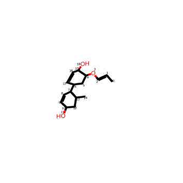 C/C=C/OC1CC(C2C=CC(O)CC2C)C=CC1O